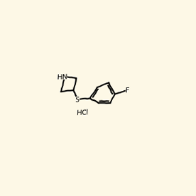 Cl.Fc1ccc(SC2CNC2)cc1